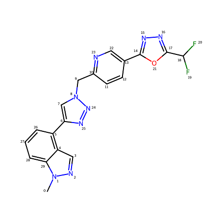 Cn1ncc2c(-c3cn(Cc4ccc(-c5nnc(C(F)F)o5)cn4)nn3)cccc21